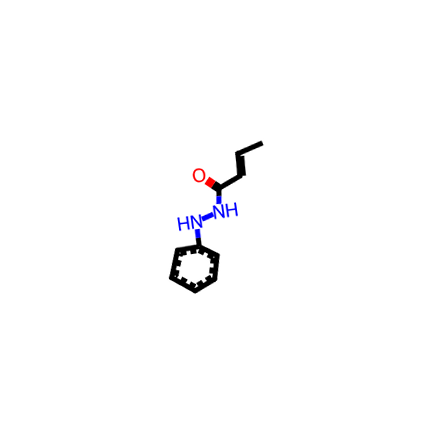 C/C=C/C(=O)NNc1ccccc1